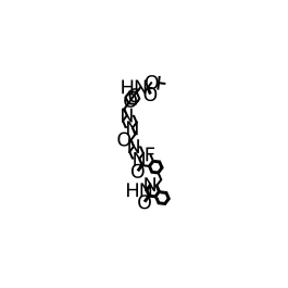 CC(C)(C)OC(=O)NC12CCC(CN3CCN(CC(=O)N4CCN(C(=O)c5cc(Cc6n[nH]c(=O)c7ccccc67)ccc5F)CC4)CC3)(CC1)OC2